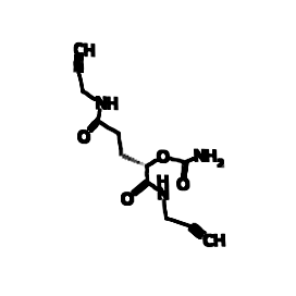 C#CCNC(=O)CC[C@H](OC(N)=O)C(=O)NCC#C